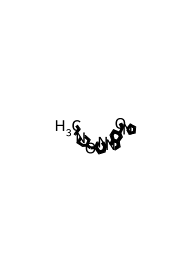 CCCN1CCC(Oc2ccc(-n3ccc4cc(C(=O)N5CCCC5)ccc43)nc2)CC1